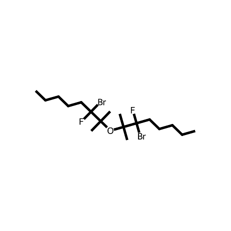 CCCCCC(F)(Br)C(C)(C)OC(C)(C)C(F)(Br)CCCCC